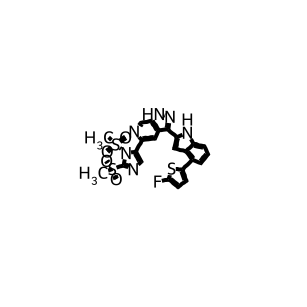 CS(=O)(=O)c1ncc(-c2cc3c(-c4cc5c(-c6ccc(F)s6)cccc5[nH]4)n[nH]c3cn2)n1S(C)(=O)=O